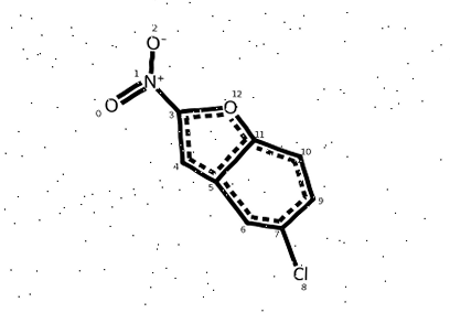 O=[N+]([O-])c1cc2cc(Cl)ccc2o1